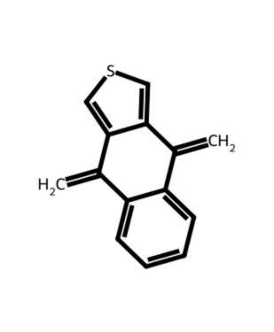 C=c1c2ccccc2c(=C)c2cscc12